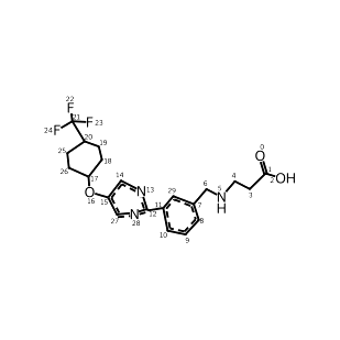 O=C(O)CCNCc1cccc(-c2ncc(OC3CCC(C(F)(F)F)CC3)cn2)c1